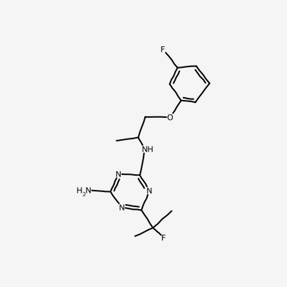 CC(COc1cccc(F)c1)Nc1nc(N)nc(C(C)(C)F)n1